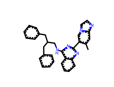 Cc1cc2nccn2cc1-c1nc(NCC(Cc2ccccc2)Cc2ccccc2)c2ccccc2n1